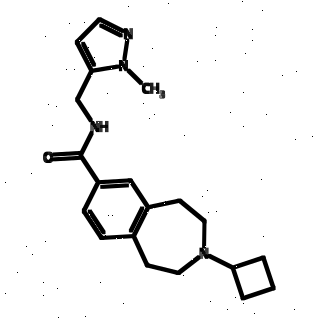 Cn1nccc1CNC(=O)c1ccc2c(c1)CCN(C1CCC1)CC2